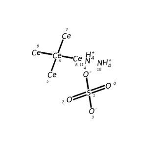 O=S(=O)([O-])[O-].[Ce][Ce]([Ce])([Ce])[Ce].[NH4+].[NH4+]